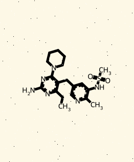 CCc1nc(N)nc(N2CCCCC2)c1Cc1cnc(C)c(NS(C)(=O)=O)c1